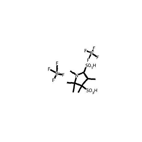 CC1C(S(=O)(=O)O)N(C)C(C)(C)C1(C)S(=O)(=O)O.F[B-](F)(F)F.F[B-](F)(F)F